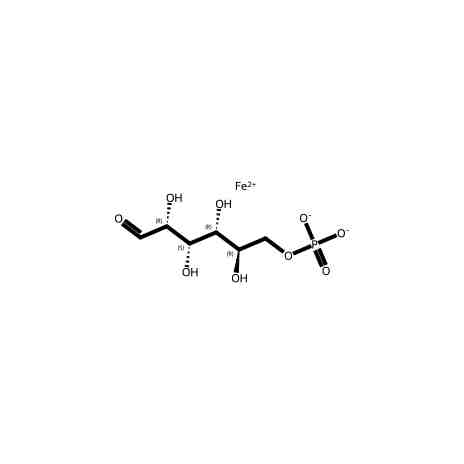 O=C[C@H](O)[C@@H](O)[C@H](O)[C@H](O)COP(=O)([O-])[O-].[Fe+2]